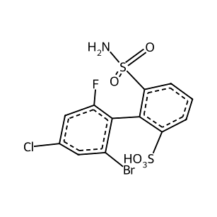 NS(=O)(=O)c1cccc(S(=O)(=O)O)c1-c1c(F)cc(Cl)cc1Br